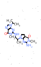 CC(C)n1cnc2c(=O)n(C)c(NCC(C)n3ccc4c(=O)n(C)c(N)nc43)nc21